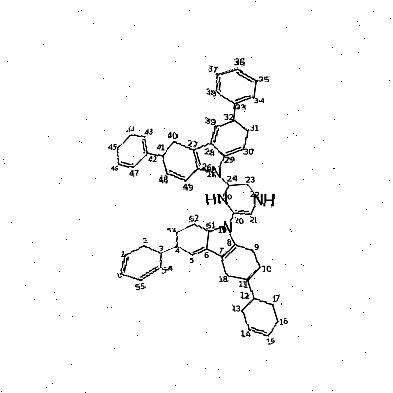 C1=CCC(C2C=C3C4=C(CCC(C5CC=CCC5)C4)N(C4=CNCC(n5c6c(c7c5=CCC(c5ccccc5)C=7)CC(C5=CCCC=C5)C=C6)N4)C3CC2)C=C1